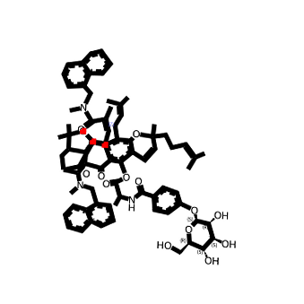 CC(C)=CCCC1(C)C=Cc2c(c(CC=C(C)C)c3c(c2OC(=O)C(C)NC(=O)c2ccc(O[C@@H]4O[C@H](CO)[C@@H](O)[C@H](O)[C@H]4O)cc2)C(=O)C2C(N(C)Cc4cccc5ccccc45)C4CC5C(C)(C)OC(C/C=C(/C)C(=O)N(C)Cc6cccc7ccccc67)(C4=O)C25O3)O1